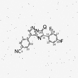 N#Cc1ccc(-c2cnn3c2N=C(c2ccc(F)cc2F)C3=O)cc1